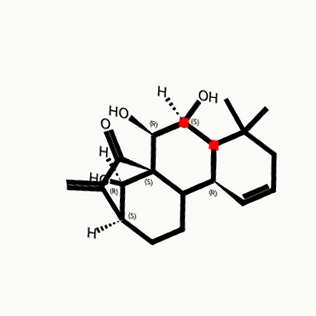 C=C1C(=O)[C@@]23C(CC[C@@H]1[C@H]2O)[C@]12C=CCC(C)(C)C1[C@H](O)[C@]3(O)OC2